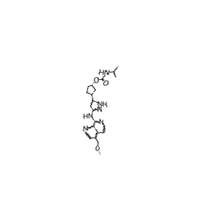 COCc1ccnc2c(Nc3cc(C4CCC(OC(=O)NC(C)C)C4)[nH]n3)nccc12